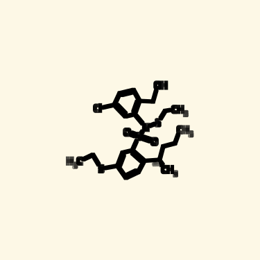 CCC[C@@H](C)c1ccc(SCC)cc1S(=O)(=O)N(SCC)c1cc(Cl)ccc1CO